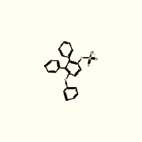 O=S(=O)(Oc1ccc(Sc2ccccc2)c(-c2ccccc2)c1-c1ccccc1)C(F)(F)F